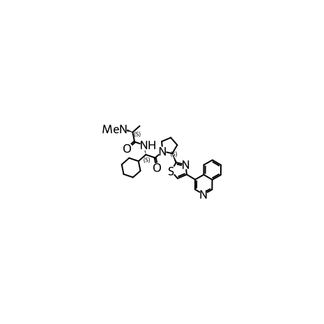 CN[C@@H](C)C(=O)N[C@H](C(=O)N1CCC[C@H]1c1nc(-c2cncc3ccccc23)cs1)C1CCCCC1